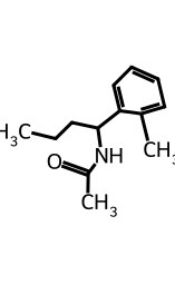 CCCC(NC(C)=O)c1ccccc1C